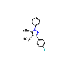 CCCCc1c(C(=O)O)c(-c2ccc(F)cc2)nn1-c1ccccc1